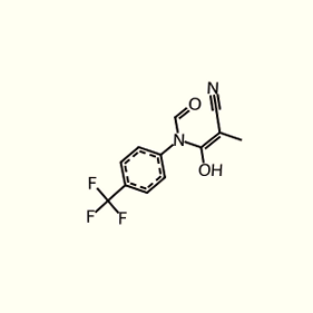 CC(C#N)=C(O)N(C=O)c1ccc(C(F)(F)F)cc1